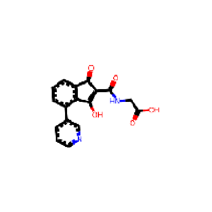 O=C(O)CNC(=O)C1=C(O)c2c(cccc2-c2cccnc2)C1=O